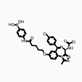 CCC(=O)N[C@@H]1N=C(c2ccc(Cl)cc2)c2cc(OCCCCC(=O)Nc3ccc(B(O)O)cc3)ccc2-n2c(C)nnc21